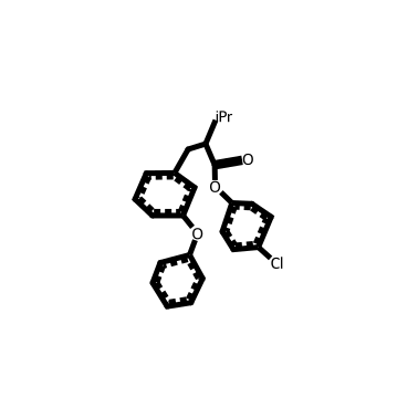 CC(C)C(Cc1cccc(Oc2ccccc2)c1)C(=O)Oc1ccc(Cl)cc1